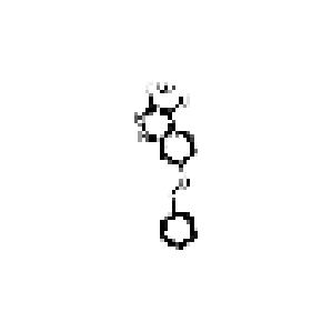 COc1nnc2cc(OCc3ccccc3)ccc2c1Cl